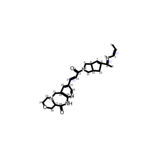 C/C=C\N=C(/C)C1=CC2CN(C(=O)/C=C/c3cnc4c(c3)CN3CCOCC3C(=O)N4)CC2C1